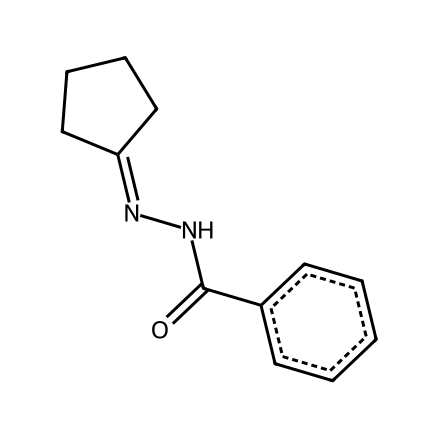 O=C(NN=C1CCCC1)c1ccccc1